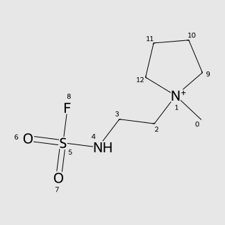 C[N+]1(CCNS(=O)(=O)F)CCCC1